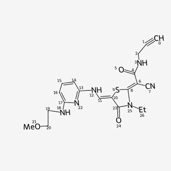 C#CCNC(=O)C(C#N)=c1sc(=CNc2cccc(NCCOC)n2)c(=O)n1CC